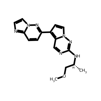 COC[C@@H](C)Nc1ncc2c(-c3ccc4nccn4n3)ccn2n1